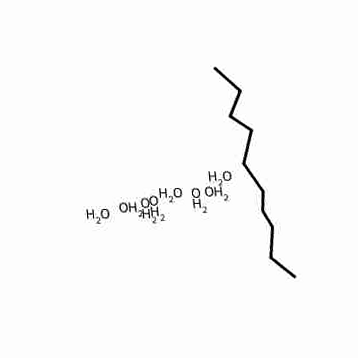 CCCCCCCCCC.O.O.O.O.O.O.O.O